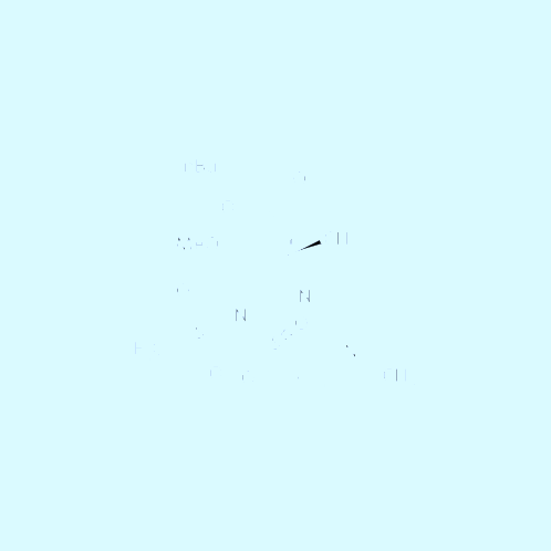 CCCCOC(=O)[C@@](C)(C(OC)=[N+](S(=O)(=O)C(F)(F)F)S(=O)(=O)C(F)(F)F)n1cc[n+](C)c1